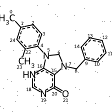 Cc1ccc(N2CN(Cc3ccccc3)c3c2[nH]cnc3=O)c(C)c1